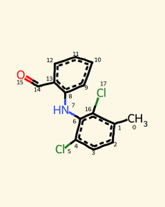 Cc1ccc(Cl)c(Nc2ccccc2[C]=O)c1Cl